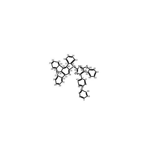 c1ccc(-c2ccc(-c3nc(-n4c5ccccc5c5c6c7ccccc7n7c8ccccc8c(cc54)c67)nc4sc5ccccc5c34)cc2)cc1